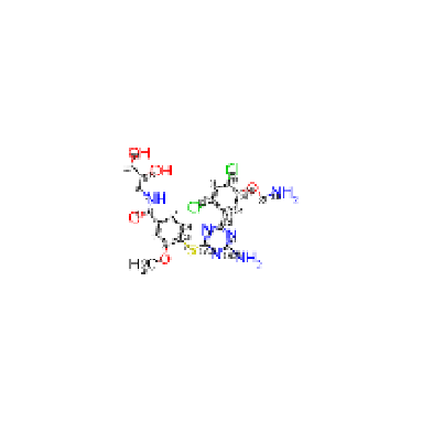 COc1cc(C(=O)NCC(O)CO)ccc1Sc1nc(N)nc(-c2cc(OCN)c(Cl)cc2Cl)n1